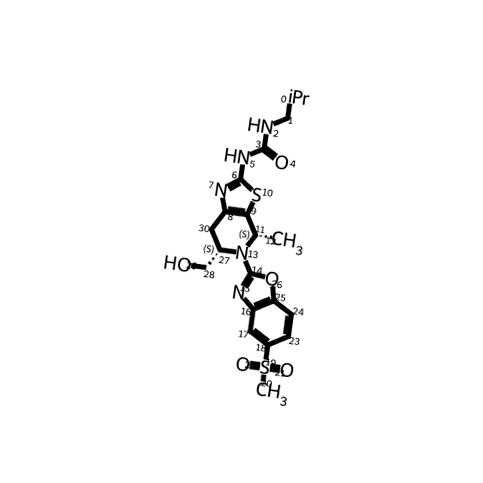 CC(C)CNC(=O)Nc1nc2c(s1)[C@H](C)N(c1nc3cc(S(C)(=O)=O)ccc3o1)[C@H](CO)C2